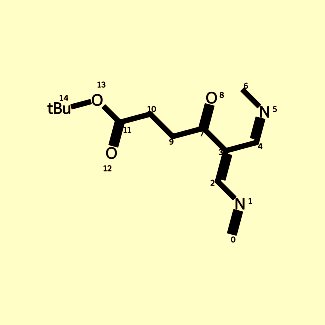 C=N/C=C(\C=N/C)C(=O)CCC(=O)OC(C)(C)C